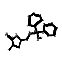 CC1CC(CO[Si](c2ccccc2)(c2ccccc2)C(C)(C)C)OC1=O